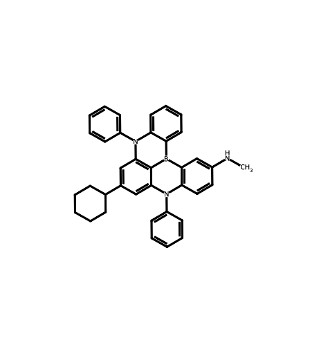 CNc1ccc2c(c1)B1c3ccccc3N(c3ccccc3)c3cc(C4CCCCC4)cc(c31)N2c1ccccc1